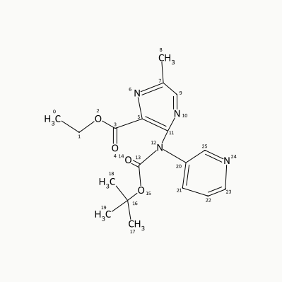 CCOC(=O)c1nc(C)cnc1N(C(=O)OC(C)(C)C)c1cccnc1